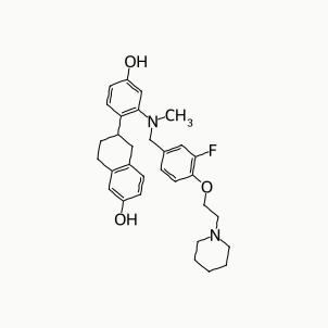 CN(Cc1ccc(OCCN2CCCCC2)c(F)c1)c1cc(O)ccc1C1CCc2cc(O)ccc2C1